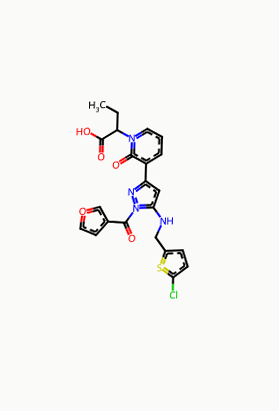 CCC(C(=O)O)n1cccc(-c2cc(NCc3ccc(Cl)s3)n(C(=O)c3ccoc3)n2)c1=O